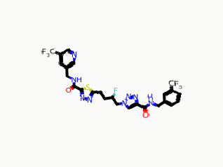 O=C(NCc1cccc(C(F)(F)F)c1)c1cn(CC(F)CCc2nnc(C(=O)NCc3cncc(C(F)(F)F)c3)s2)nn1